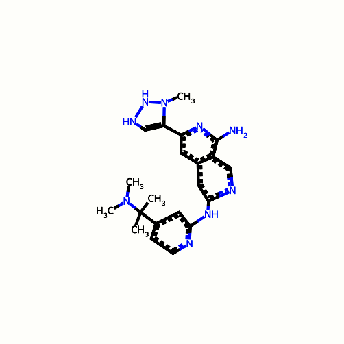 CN1NNC=C1c1cc2cc(Nc3cc(C(C)(C)N(C)C)ccn3)ncc2c(N)n1